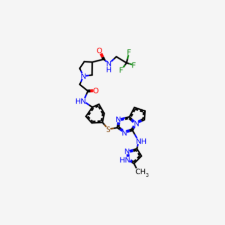 Cc1cc(Nc2nc(Sc3ccc(NC(=O)CN4CCC(C(=O)NCC(F)(F)F)C4)cc3)nc3cccn23)n[nH]1